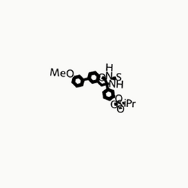 COc1cccc(-c2cccc(CC3(c4cccc(OS(=O)(=O)C(C)C)c4)NC(=S)NC3=O)c2)c1